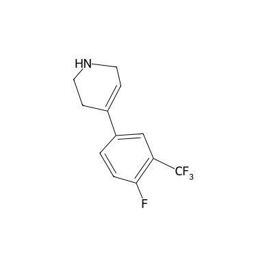 Fc1ccc(C2=CCNCC2)cc1C(F)(F)F